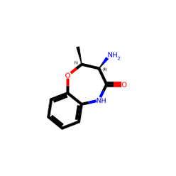 C[C@@H]1Oc2ccccc2NC(=O)[C@@H]1N